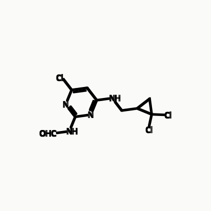 O=CNc1nc(Cl)cc(NCC2CC2(Cl)Cl)n1